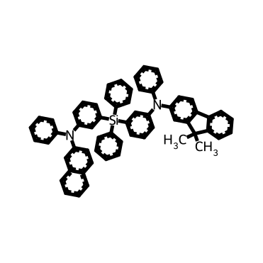 CC1(C)c2ccccc2-c2ccc(N(c3ccccc3)c3cccc([Si](c4ccccc4)(c4ccccc4)c4cccc(N(c5ccccc5)c5ccc6ccccc6c5)c4)c3)cc21